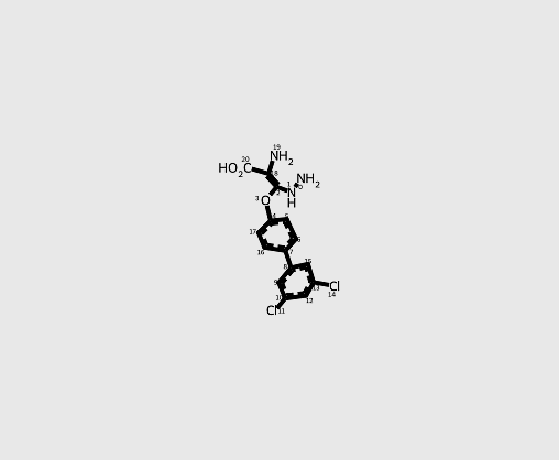 NN/C(Oc1ccc(-c2cc(Cl)cc(Cl)c2)cc1)=C(\N)C(=O)O